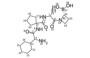 CCC(NC(=O)C1(NC(=O)C(N)C2CCCCC2)CCCC1)C(=O)N1CC[C@H]1B(O)O